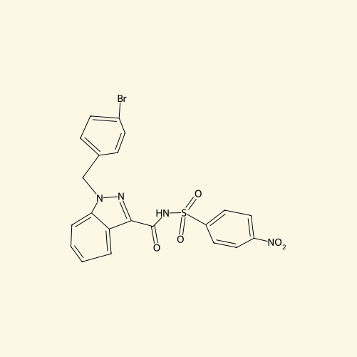 O=C(NS(=O)(=O)c1ccc([N+](=O)[O-])cc1)c1nn(Cc2ccc(Br)cc2)c2ccccc12